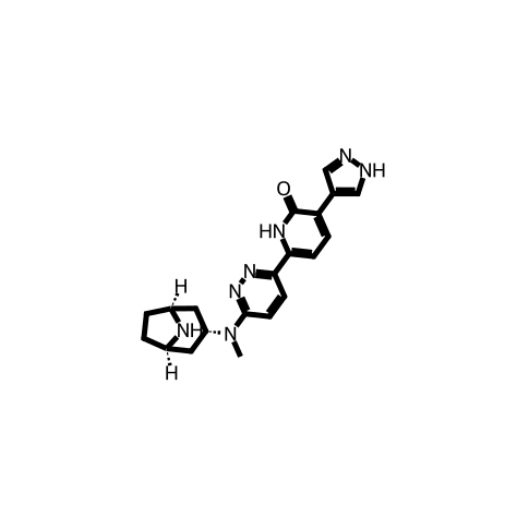 CN(c1ccc(-c2ccc(-c3cn[nH]c3)c(=O)[nH]2)nn1)[C@@H]1C[C@H]2CC[C@@H](C1)N2